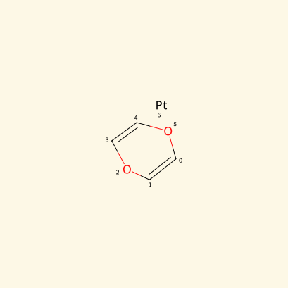 C1=COC=CO1.[Pt]